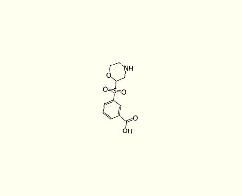 O=C(O)c1cccc(S(=O)(=O)C2CNCCO2)c1